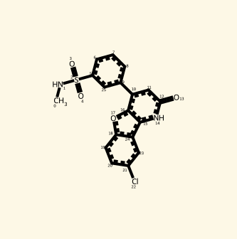 CNS(=O)(=O)c1cccc(-c2cc(=O)[nH]c3c2oc2ccc(Cl)cc23)c1